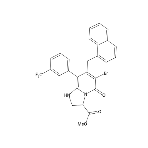 COC(=O)C1CNc2c(-c3cccc(C(F)(F)F)c3)c(Cc3cccc4ccccc34)c(Br)c(=O)n21